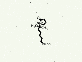 CCCCCCCCCCCCCCC(C)(C)[N+]1(Cl)CCCC1=O